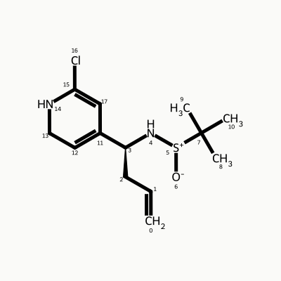 C=CC[C@H](N[S+]([O-])C(C)(C)C)C1=CCNC(Cl)=C1